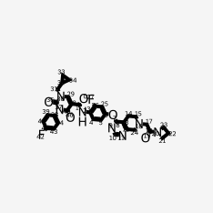 O=C(Nc1ccc(Oc2ncnc3c2CCN(CC(=O)N2CCC2)C3)cc1F)c1cn(CC2CC2)c(=O)n(-c2ccc(F)cc2)c1=O